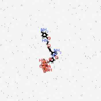 NCc1ccc(C(=O)NCCOCC#Cc2cn([C@H]3CC[C@@H](COP(=O)(O)OP(=O)(O)OP(=O)(O)O)O3)c(=O)nc2N)cc1